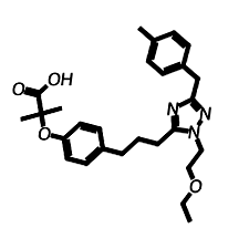 CCOCCn1nc(Cc2ccc(C)cc2)nc1CCCc1ccc(OC(C)(C)C(=O)O)cc1